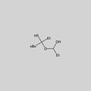 CCCCC(S)(CC)OC(O)CC